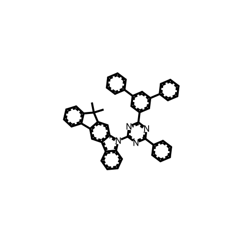 CC1(C)c2ccccc2-c2cc3c4ccccc4n(-c4nc(-c5ccccc5)nc(-c5cc(-c6ccccc6)cc(-c6ccccc6)c5)n4)c3cc21